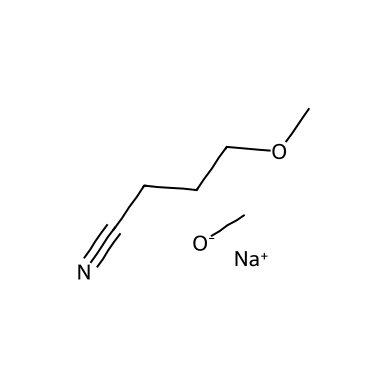 COCCCC#N.C[O-].[Na+]